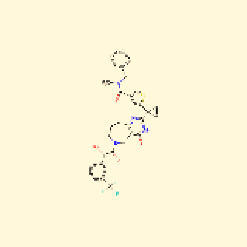 CN(Cc1ccccc1)C(=O)c1csc(C2(c3nc4c(c(=O)[nH]3)CN(C(=O)C(O)c3cccc(C(F)(F)F)c3)CCC4)CC2)c1